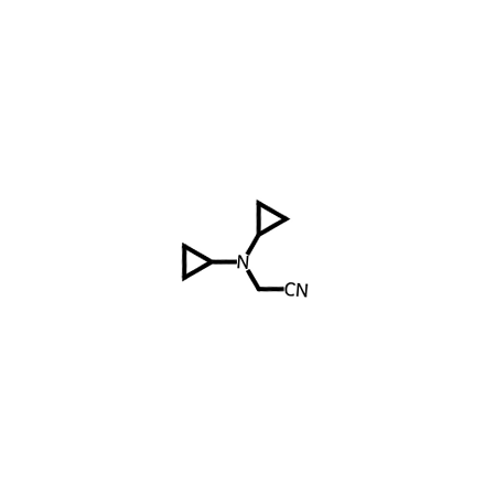 N#CCN(C1CC1)C1CC1